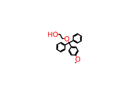 COc1ccc(C(OCCO)(c2ccccc2)c2ccccc2)cc1